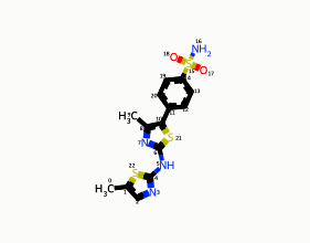 Cc1cnc(Nc2nc(C)c(-c3ccc(S(N)(=O)=O)cc3)s2)s1